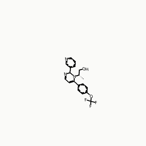 C[C@@H](CO)N1C(c2ccc(OC(F)(F)F)cc2)=CC=NC1c1cccnc1